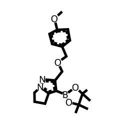 COc1ccc(COCc2nn3c(c2B2OC(C)(C)C(C)(C)O2)CCC3)cc1